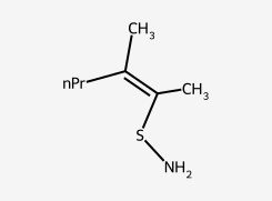 CCC/C(C)=C(/C)SN